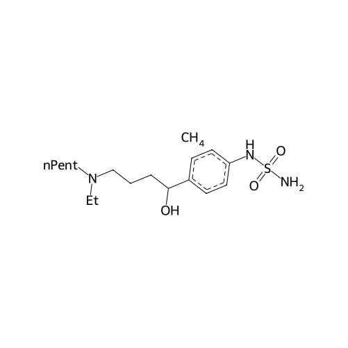 C.CCCCCN(CC)CCCC(O)c1ccc(NS(N)(=O)=O)cc1